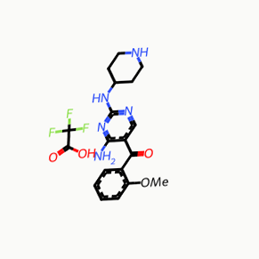 COc1ccccc1C(=O)c1cnc(NC2CCNCC2)nc1N.O=C(O)C(F)(F)F